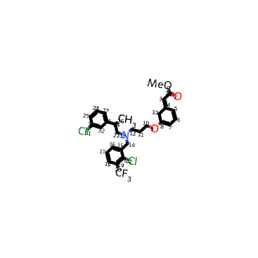 COC(=O)/C=C1\C=CC=C(OCCCN(Cc2cccc(C(F)(F)F)c2Cl)CC(C)c2cccc(Cl)c2)C1